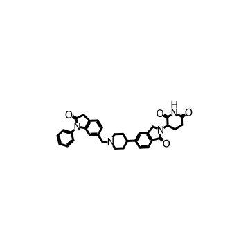 O=C1CCC(N2Cc3cc(C4CCN(Cc5ccc6c(c5)N(c5ccccc5)C(=O)C6)CC4)ccc3C2=O)C(=O)N1